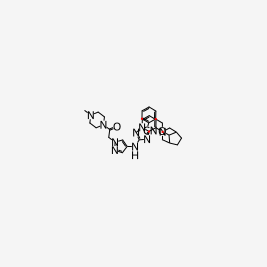 CN1CCN(C(=O)Cn2cc(Nc3nc4c(N5CC6CCC(C5)C6OCc5ccccc5C#N)cccn4n3)cn2)CC1